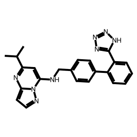 CC(C)c1cc(NCc2ccc(-c3ccccc3-c3nnn[nH]3)cc2)n2nccc2n1